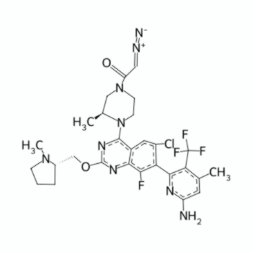 Cc1cc(N)nc(-c2c(Cl)cc3c(N4CCN(C(=O)C=[N+]=[N-])C[C@@H]4C)nc(OC[C@@H]4CCCN4C)nc3c2F)c1C(F)(F)F